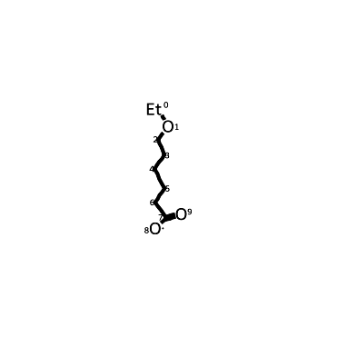 CCOCCCCCC([O])=O